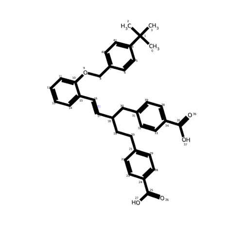 CC(C)(C)c1ccc(COc2ccccc2/C=C/C(CCc2ccc(C(=O)O)cc2)Cc2ccc(C(=O)O)cc2)cc1